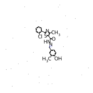 Cc1cc(/C=N/NC(=O)c2sc(-c3ccccc3Cl)nc2C)ccc1O